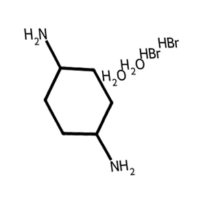 Br.Br.NC1CCC(N)CC1.O.O